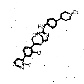 CCN1CCC(c2ccc(NC3=NC=C4C=C(c5ccc(-c6cccnc6F)cc5Cl)CON3C4)cc2)CC1